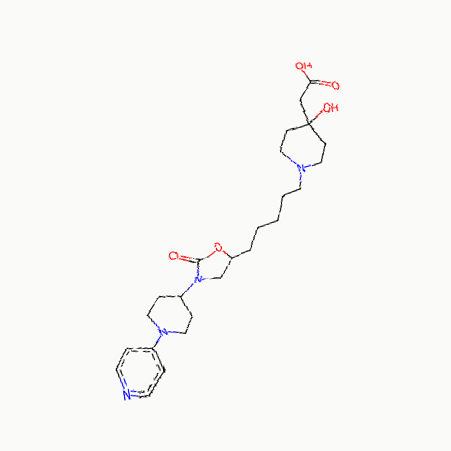 O=C(O)CC1(O)CCN(CCCCCC2CN(C3CCN(c4ccncc4)CC3)C(=O)O2)CC1